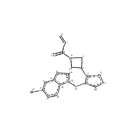 C=CC(=O)N1CC(n2nncc2Cn2ccc3cc(Br)ccc32)C1